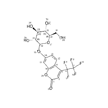 O=c1cc(C(F)(F)C(F)(F)F)c2ccc(OC3O[C@H](CO)[C@@H](O)[C@H](O)[C@H]3O)cc2o1